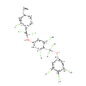 Cc1ccc(C(F)(F)Oc2cc(F)c(C(F)(F)Oc3cc(F)c(F)c(F)c3)c(F)c2)c(F)c1